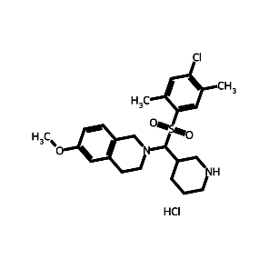 COc1ccc2c(c1)CCN(C(C1CCCNC1)S(=O)(=O)c1cc(C)c(Cl)cc1C)C2.Cl